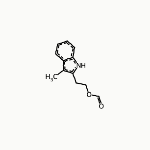 Cc1c(CCOC=O)[nH]c2ccccc12